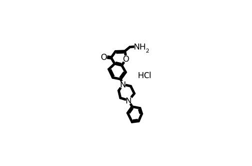 Cl.NCc1cc(=O)c2ccc(N3CCN(c4ccccc4)CC3)cc2o1